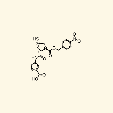 O=C(O)c1cc(NC(=O)[C@@H]2C[C@H](S)CN2C(=O)OCc2ccc([N+](=O)[O-])cc2)cs1